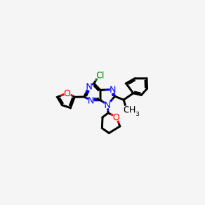 CC(c1ccccc1)c1nc2c(Cl)nc(-c3ccco3)nc2n1C1CCCCO1